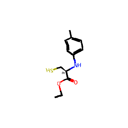 CCOC(=O)[C@@H](CS)Nc1ccc(C)cc1